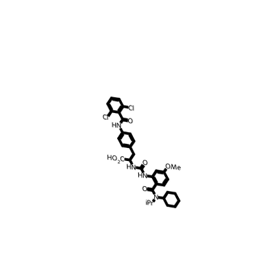 COc1ccc(C(=O)N(C(C)C)C2CCCCC2)c(NC(=O)NC(Cc2ccc(NC(=O)c3c(Cl)cccc3Cl)cc2)C(=O)O)c1